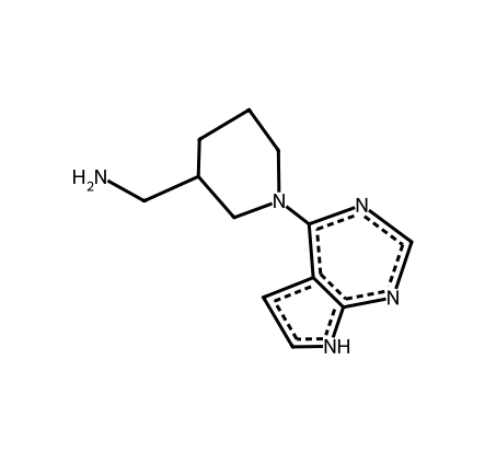 NCC1CCCN(c2ncnc3[nH]ccc23)C1